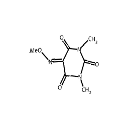 CON=C1C(=O)N(C)C(=O)N(C)C1=O